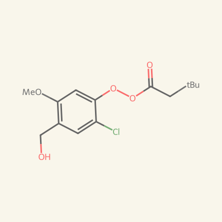 COc1cc(OOC(=O)CC(C)(C)C)c(Cl)cc1CO